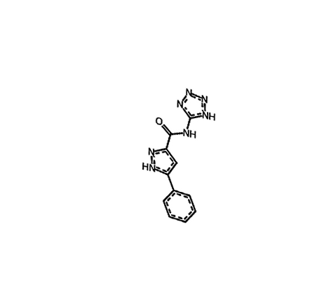 O=C(Nc1nnn[nH]1)c1cc(-c2ccccc2)[nH]n1